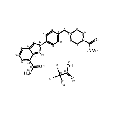 CNC(=O)N1CCN(Cc2ccc(-n3cc4cccc(C(N)=O)c4n3)cc2)CC1.O=C(O)C(F)(F)F